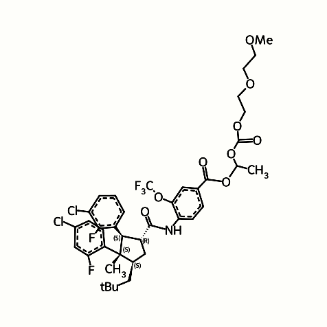 COCCOCCOC(=O)OC(C)OC(=O)c1ccc(NC(=O)[C@@H]2C[C@@H](CC(C)(C)C)[C@](C)(c3ccc(Cl)cc3F)[C@H]2c2cccc(Cl)c2F)c(OC(F)(F)F)c1